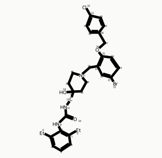 CCc1cccc(CC)c1NC(=O)NCC1(O)CCN(Cc2cc(Br)ccc2OCc2ccc(Cl)cc2)CC1